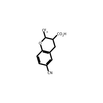 N#Cc1ccc2c(c1)CC(C(=O)O)C(C(F)(F)F)O2